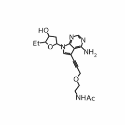 CCC1OC(n2cc(C#CCOCCNC(C)=O)c3c(N)ncnc32)CC1O